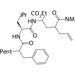 C=CCC(CC(NC(=O)[C@H](CC(C)C)NC(=O)C(CCCCC)Cc1ccccc1)C(=O)OCC)C(=O)NC